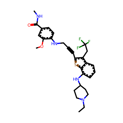 CCN1CCC(Nc2cccc3c(CC(F)(F)F)c(C#CCNc4ccc(C(=O)NC)cc4OC)sc23)CC1